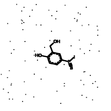 B#P(I)c1ccc(O)c(CO)c1